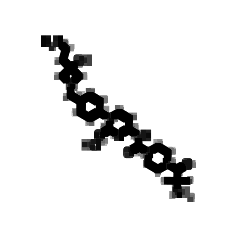 CC(C)(N)C(=O)N1CCN(C(=O)Nc2ccn(-c3ccc(CN4CC(O)(CCN)C4)cc3)c(=O)n2)CC1.Cl